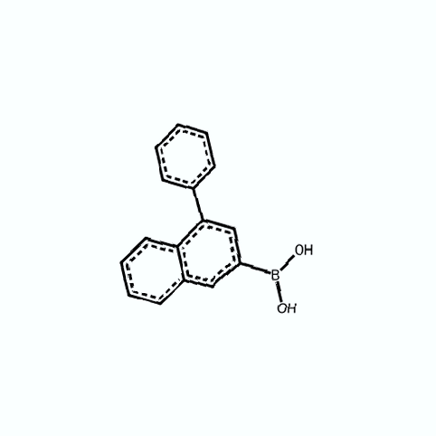 OB(O)c1cc(-c2ccccc2)c2ccccc2c1